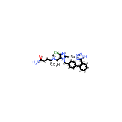 CCCCc1nc(Cl)c(CN(C(C)=O)[C@@H](CCC(N)=O)C(=O)O)n1Cc1ccc(-c2ccccc2-c2nnn[nH]2)cc1